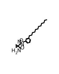 CCCCCCCCCCCCc1cccc(-c2nc(C3(C(N)=O)CC3)no2)c1